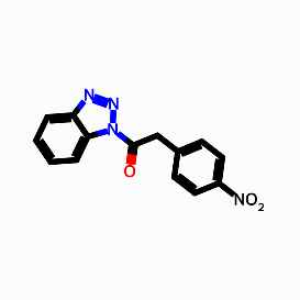 O=C(Cc1ccc([N+](=O)[O-])cc1)n1nnc2ccccc21